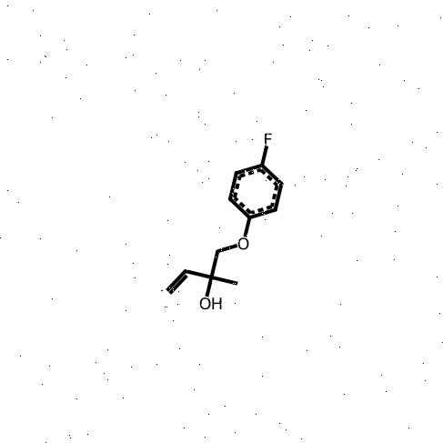 [CH]=CC(C)(O)COc1ccc(F)cc1